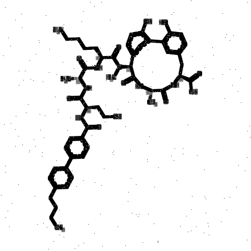 CCCCc1ccc(-c2ccc(C(=O)N[C@H](CCO)C(=O)N[C@H](N)C(=O)N[C@@H](CCCCN)C(=O)N(C)[C@@H]3C(=O)N[C@@H](C)C(=O)N[C@H](C(=O)O)Cc4ccc(O)c(c4)-c4cc3ccc4O)cc2)cc1